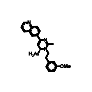 COc1cccc(CCN2C(C)=NC(c3ccc4ncccc4c3)=C[C@@H]2[AsH2])c1